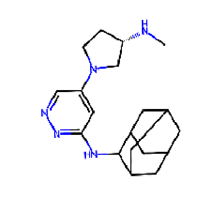 CN[C@H]1CCN(c2cnnc(NC3C4CC5CC(C4)CC3C5)c2)C1